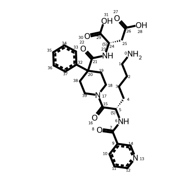 NCCCC[C@H](NC(=O)c1cccnc1)C(=O)N1CCC(C(=O)N[C@@H](CC(=O)O)C(=O)O)(c2ccccc2)CC1